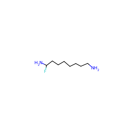 NCCCCCCCC(N)F